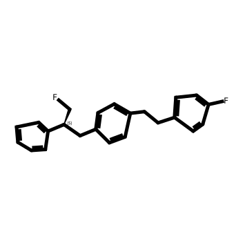 FC[C@@H](Cc1ccc(CCc2ccc(F)cc2)cc1)c1ccccc1